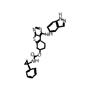 O=C(NC1(c2ccccc2)CC1)OC1CCc2c(sc3ncnc(Nc4ccc5[nH]ncc5c4)c23)C1